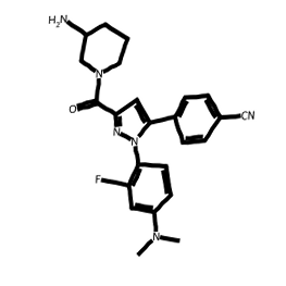 CN(C)c1ccc(-n2nc(C(=O)N3CCCC(N)C3)cc2-c2ccc(C#N)cc2)c(F)c1